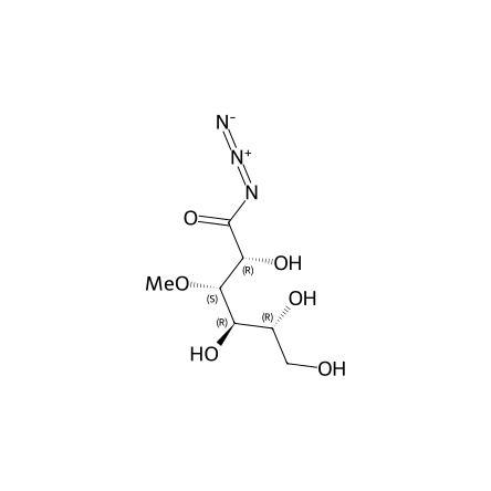 CO[C@@H]([C@H](O)[C@H](O)CO)[C@@H](O)C(=O)N=[N+]=[N-]